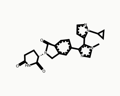 Cn1cnc(-c2ccc3c(c2)CN([C@H]2CCC(=O)NC2=O)C3=O)c1-c1ccnn1C1CC1